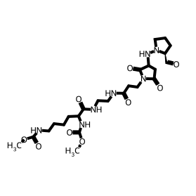 COC(=O)NCCCCC(NC(=O)OC)C(=O)NCCNC(=O)CCN1C(=O)CC(NN2CCC[C@H]2C=O)C1=O